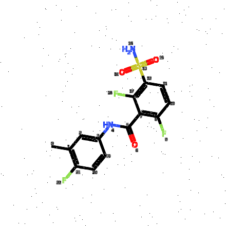 Cc1cc(NC(=O)c2c(F)ccc(S(N)(=O)=O)c2F)ccc1F